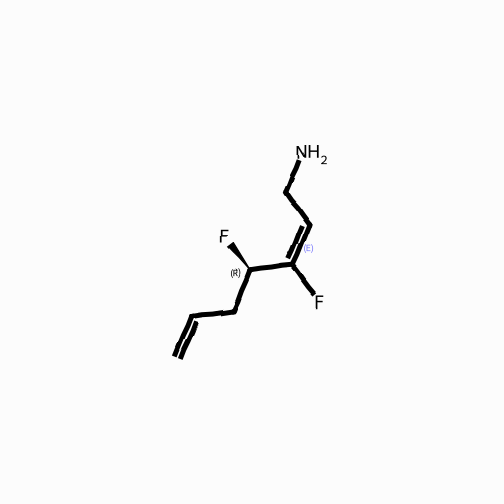 C=CC[C@@H](F)/C(F)=C\CN